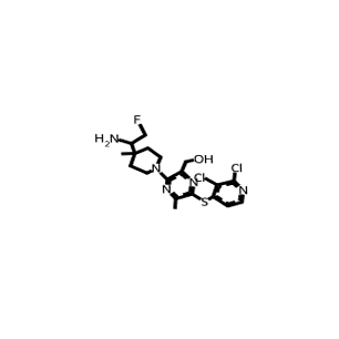 Cc1nc(N2CCC(C)(C(N)CF)CC2)c(CO)nc1Sc1ccnc(Cl)c1Cl